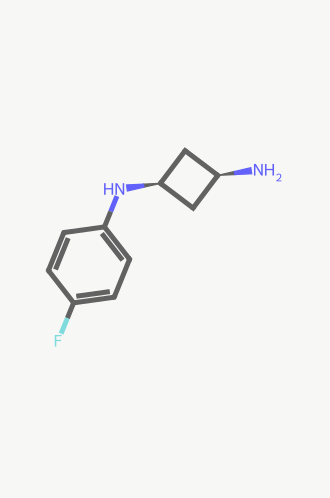 N[C@H]1C[C@@H](Nc2ccc(F)cc2)C1